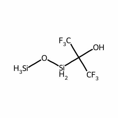 OC([SiH2]O[SiH3])(C(F)(F)F)C(F)(F)F